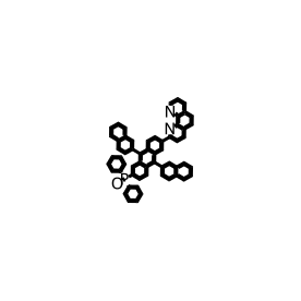 O=P(c1ccccc1)(c1ccccc1)c1ccc2c(-c3ccc4ccccc4c3)c3cc(-c4ccc5ccc6cccnc6c5n4)ccc3c(-c3ccc4ccccc4c3)c2c1